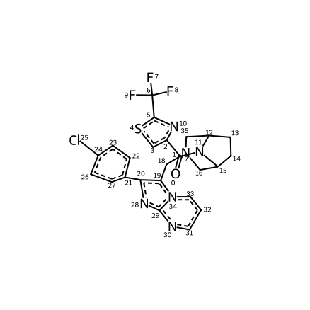 O=C(c1csc(C(F)(F)F)n1)N1C2CCC1CN(Cc1c(-c3ccc(Cl)cc3)nc3ncccn13)C2